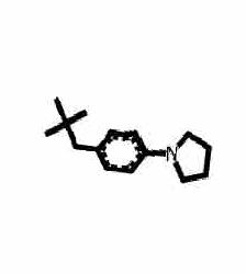 CC(C)(C)Cc1ccc(N2CCCC2)cc1